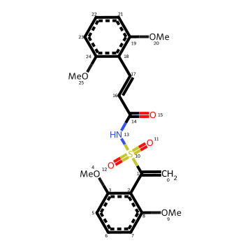 C=C(c1c(OC)cccc1OC)S(=O)(=O)NC(=O)C=Cc1c(OC)cccc1OC